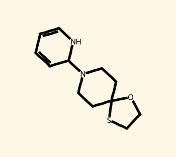 [C]1=CNC(N2CCC3(CC2)OCCS3)C=C1